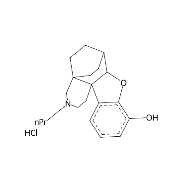 CCCN1CCC23c4cccc(O)c4OC2C2CCC3(CC2)C1.Cl